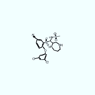 CS(=O)(=O)NC(C1CNCCCN1)S(=O)(=O)c1cc(C#N)ccc1Oc1cc(Cl)cc(Cl)c1